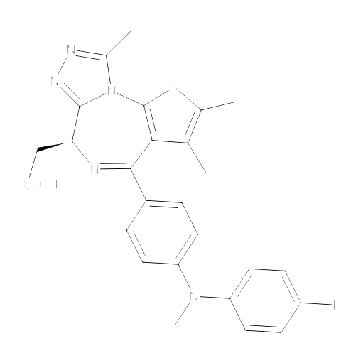 Cc1sc2c(c1C)C(c1ccc(N(C)c3ccc(F)cc3)cc1)=N[C@@H](CC(=O)O)c1nnc(C)n1-2